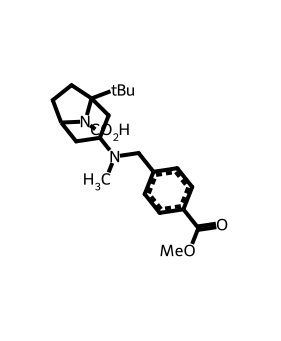 COC(=O)c1ccc(CN(C)C2CC3CCC(C(C)(C)C)(C2)N3C(=O)O)cc1